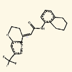 O=C(/C=C1\CCOc2cc(C(F)(F)F)ccc21)Nc1cccc2c1CCCC2